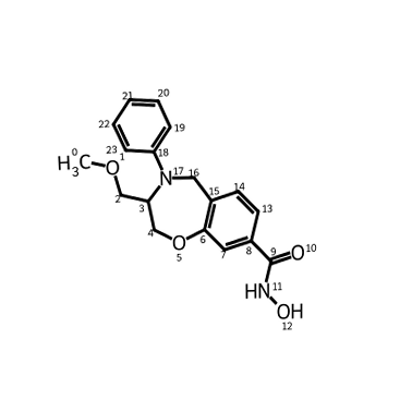 COCC1COc2cc(C(=O)NO)ccc2CN1c1ccccc1